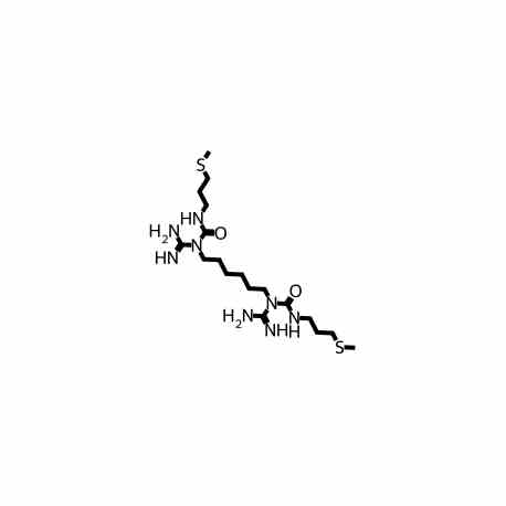 CSCCCNC(=O)N(CCCCCCN(C(=N)N)C(=O)NCCCSC)C(=N)N